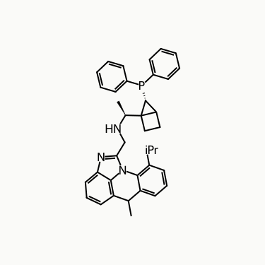 CC(C)c1cccc2c1-n1c(CN[C@@H](C)C34CCC3[C@H]4P(c3ccccc3)c3ccccc3)nc3cccc(c31)C2C